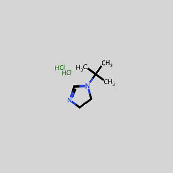 CC(C)(C)N1C=NCC1.Cl.Cl